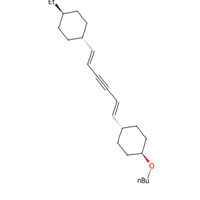 CCCCO[C@H]1CC[C@H](/C=C/C#C/C=C/[C@H]2CC[C@H](CC)CC2)CC1